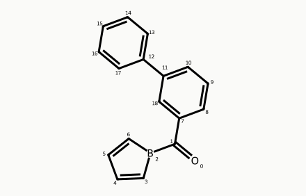 O=C(B1C=CC=C1)c1cccc(-c2ccccc2)c1